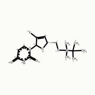 CC(C)(C)[Si](C)(C)OC[C@H]1C=C(F)C(n2ccc(=O)[nH]c2=O)O1